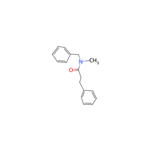 CN(Cc1ccccc1)C(=O)CCc1ccccc1